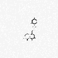 CC(C)N1CCn2c(CNS(=O)(=O)c3ccc(Cl)cc3F)cc(=O)c(O)c2C1=O